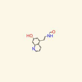 O=CNC=Cc1cc(O)cc2ncccc12